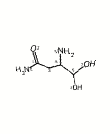 NC(=O)CC(N)C(O)O